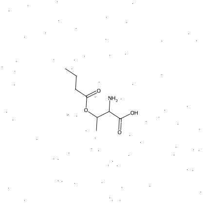 CCCC(=O)OC(C)C(N)C(=O)O